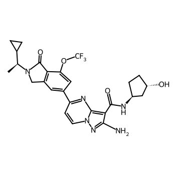 C[C@@H](C1CC1)N1Cc2cc(-c3ccn4nc(N)c(C(=O)N[C@H]5CC[C@H](O)C5)c4n3)cc(OC(F)(F)F)c2C1=O